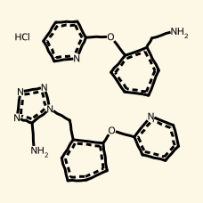 Cl.NCc1ccccc1Oc1ccccn1.Nc1nnnn1Cc1ccccc1Oc1ccccn1